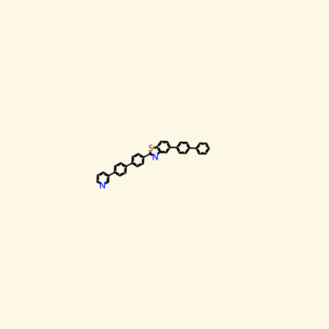 c1ccc(-c2ccc(-c3ccc4sc(-c5ccc(-c6ccc(-c7cccnc7)cc6)cc5)nc4c3)cc2)cc1